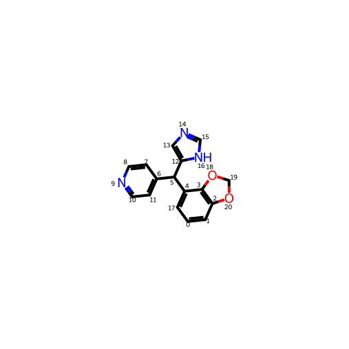 c1cc2c(c(C(c3ccncc3)c3cnc[nH]3)c1)OCO2